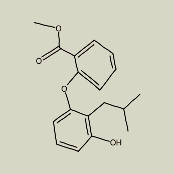 COC(=O)c1ccccc1Oc1cccc(O)c1CC(C)C